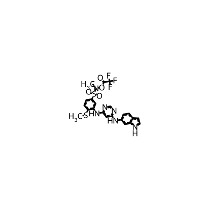 CSc1ccc(S(=O)(=O)N(C)OC(=O)C(F)(F)F)cc1Nc1cc(Nc2ccc3cc[nH]c3c2)ncn1